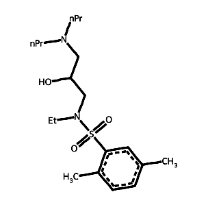 CCCN(CCC)CC(O)CN(CC)S(=O)(=O)c1cc(C)ccc1C